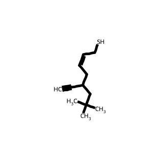 C#CC(C/C=C\CS)CC(C)(C)C